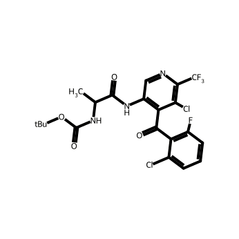 CC(NC(=O)OC(C)(C)C)C(=O)Nc1cnc(C(F)(F)F)c(Cl)c1C(=O)c1c(F)cccc1Cl